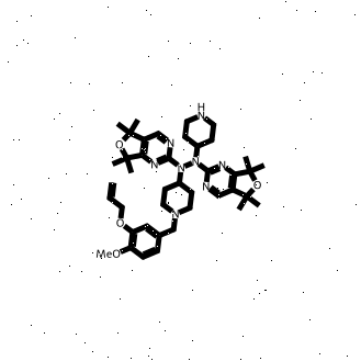 C=CCOc1cc(CN2CCC(N(c3ncc4c(n3)C(C)(C)OC4(C)C)N(c3ncc4c(n3)C(C)(C)OC4(C)C)C3CCNCC3)CC2)ccc1OC